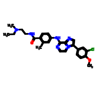 CCN(C)CCNC(=O)c1ccc(Nc2nccn3c(-c4ccc(OC)c(Cl)c4)cnc23)cc1C